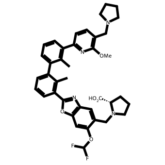 COc1nc(-c2cccc(-c3cccc(-c4nc5cc(CN6CCC[C@H]6C(=O)O)c(OC(F)F)cc5o4)c3C)c2C)ccc1CN1CCCC1